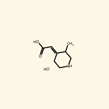 CC1CNCCC1=CC(=O)O.Cl